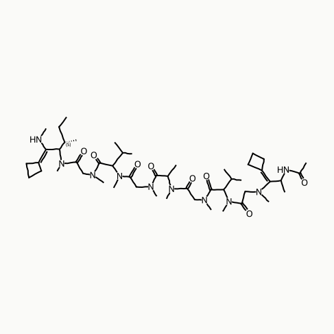 CC[C@H](C)C(C(NC)=C1CCC1)N(C)C(=O)CN(C)C(=O)C(C(C)C)N(C)C(=O)CN(C)C(=O)C(C)N(C)C(=O)CN(C)C(=O)C(C(C)C)N(C)C(=O)CN(C)C(=C1CCC1)C(C)NC(C)=O